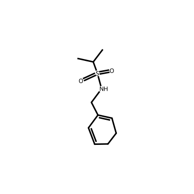 CC(C)S(=O)(=O)NCC1=CCCC=C1